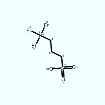 CC[N+](CC)(CC)CCCS(=O)(=O)[O-]